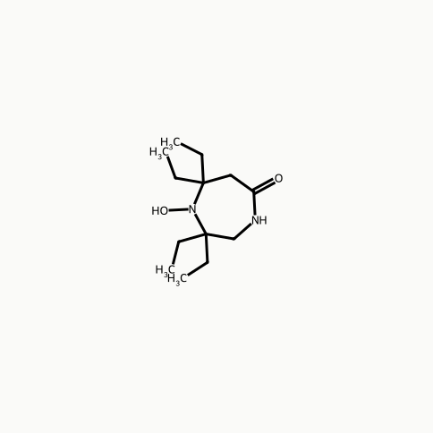 CCC1(CC)CNC(=O)CC(CC)(CC)N1O